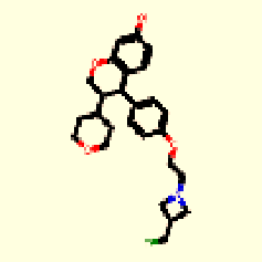 Oc1ccc2c(c1)OCC(C1CCOCC1)C2c1ccc(OCCN2CC(CF)C2)cc1